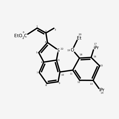 CCOC(=O)/C=C(/C)c1cc2cccc(-c3cc(C(C)C)cc(C(C)C)c3OCC)c2s1